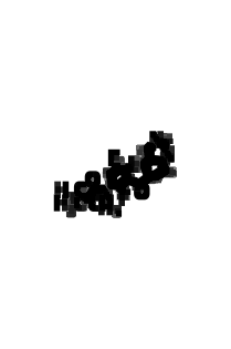 CC(C)(C)C(=O)Nc1cc(F)c(F)c(C(=O)c2ccc3ncncc3c2)c1F